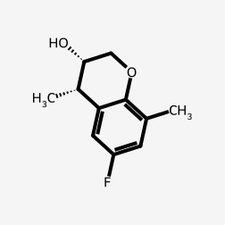 Cc1cc(F)cc2c1OC[C@@H](O)[C@H]2C